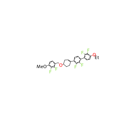 CCOc1ccc(-c2ccc(C3=CCC(OCc4ccc(OC)c(F)c4F)CC3)c(F)c2F)c(F)c1F